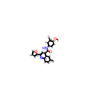 COc1ccc(NC(=O)c2cc(-c3ccco3)nc3ccc(C)cc23)cc1C